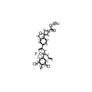 C=CCC(CC(=C)c1ccc2c(c1)COC21CN(C(=O)OC(C)(C)C)C1)(c1cc(Cl)c(F)c(Cl)c1)C(F)(F)F